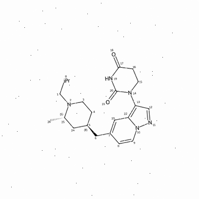 CC(C)CN1CC[C@@H](Cc2ccn3ncc(N4CCC(=O)NC4=O)c3c2)C[C@@H]1C